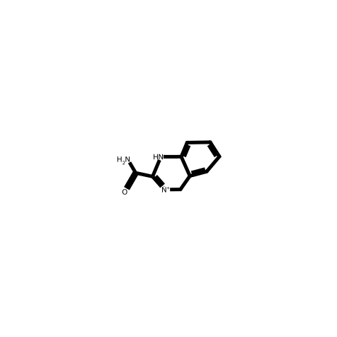 NC(=O)C1=[N+]Cc2ccccc2N1